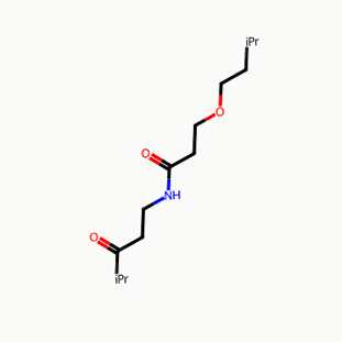 CC(C)CCOCCC(=O)NCCC(=O)C(C)C